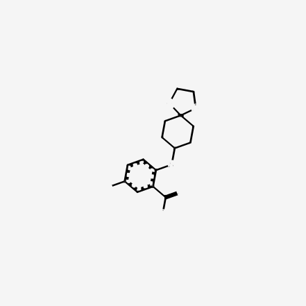 O=C(O)c1cc(F)ccc1NC1CCC2(CC1)OCCO2